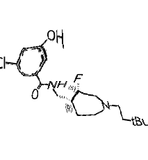 CC(C)(C)CCN1CC[C@H](CNC(=O)c2cc(O)cc(Cl)c2)[C@H](F)C1